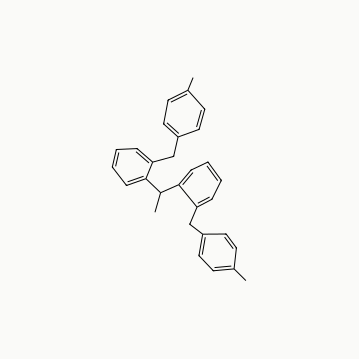 Cc1ccc(Cc2ccccc2C(C)c2ccccc2Cc2ccc(C)cc2)cc1